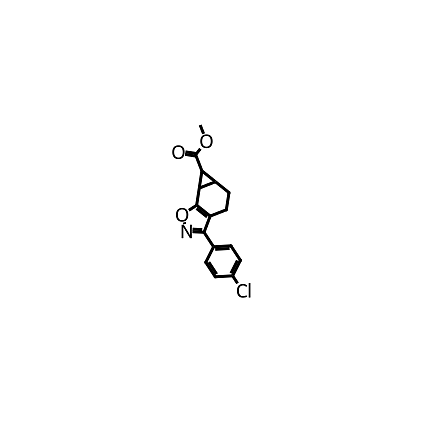 COC(=O)C1C2CCc3c(-c4ccc(Cl)cc4)noc3C21